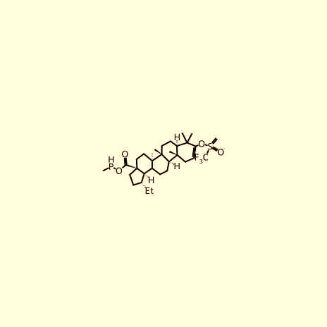 C=S(=O)(OC1=CC[C@]2(C)[C@H]3CCC4[C@H]5[C@H](CC)CC[C@]5(C(=O)OPC)CC[C@@]4(C)[C@]3(C)CC[C@H]2C1(C)C)C(F)(F)F